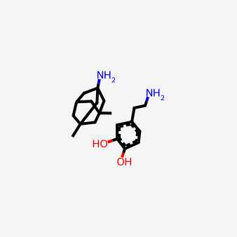 CC12CC3CC(C)(C1)CC(N)(C3)C2.NCCc1ccc(O)c(O)c1